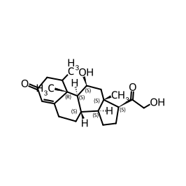 CC1CC(=O)C=C2CC[C@@H]3[C@H]([C@@H](O)C[C@]4(C)[C@@H](C(=O)CO)CC[C@@H]34)[C@]21C